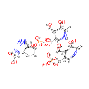 Cc1ncc(COP(=O)(O)O)c(C=O)c1O.Cc1ncc(COP(=O)(O)O)c(C=O)c1O.N[C@@H]1CCCC[C@@H]1NCC(=O)O